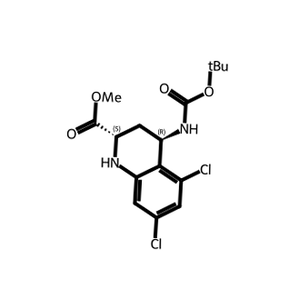 COC(=O)[C@@H]1C[C@@H](NC(=O)OC(C)(C)C)c2c(Cl)cc(Cl)cc2N1